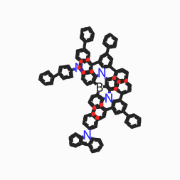 c1ccc(-c2ccc(N(c3ccc(-c4ccccc4)cc3)c3ccc4c(c3)N(c3c(-c5ccccc5)cc(-c5ccccc5)cc3-c3ccccc3)c3cccc5c3B4c3ccc(-c4ccc(-n6c7ccccc7c7ccccc76)cc4)cc3N5c3c(-c4ccccc4)cc(-c4ccccc4)cc3-c3ccccc3)cc2)cc1